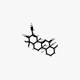 CC1CCC[C@]2(C)[C@@H]1C(=O)C=C1[C@@]3(C)C=C(C#N)C(=O)C(C)(C)C3CC[C@]12C